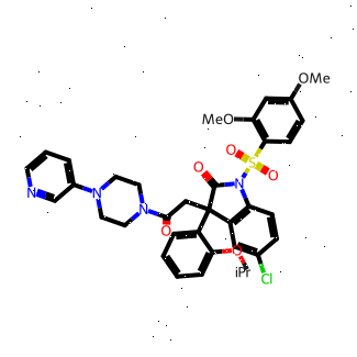 COc1ccc(S(=O)(=O)N2C(=O)C(CC(=O)N3CCN(c4cccnc4)CC3)(c3ccccc3OC(C)C)c3cc(Cl)ccc32)c(OC)c1